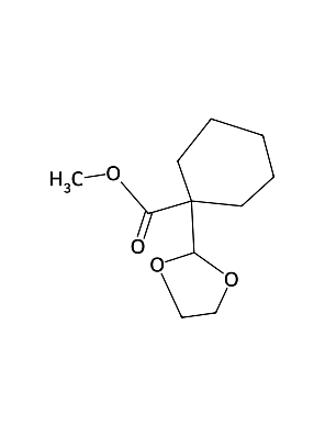 COC(=O)C1(C2OCCO2)CCCCC1